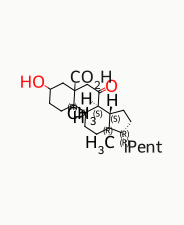 CCC[C@@H](C)[C@H]1CC[C@H]2[C@@H]3C(=O)CC4(C(=O)O)CC(O)CC[C@]4(C)[C@H]3CC[C@]12C